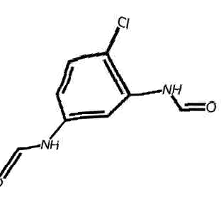 O=CNc1ccc(Cl)c(NC=O)c1